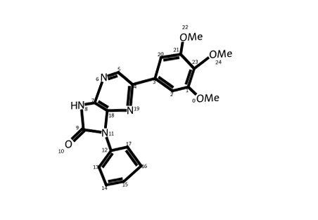 COc1cc(-c2cnc3[nH]c(=O)n(-c4ccccc4)c3n2)cc(OC)c1OC